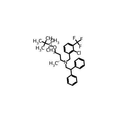 C[C@H](CCO[Si](C)(C)C(C)(C)C)N(Cc1cccc(C(F)(F)F)c1Cl)CC(c1ccccc1)c1ccccc1